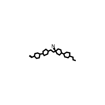 C=CC1CCC(C2CCC(CCC3(C#N)CCC(C4CCC(CCC)CC4)CC3)CC2)CC1